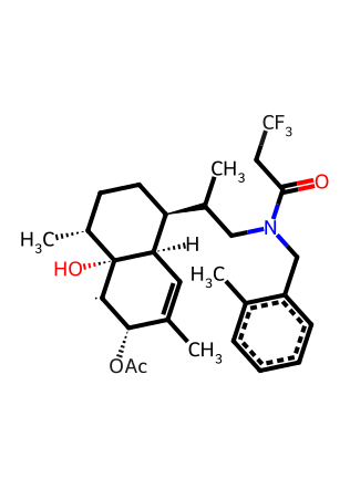 CC(=O)O[C@@H]1[CH][C@@]2(O)[C@H](C)CC[C@@H](C(C)CN(Cc3ccccc3C)C(=O)CC(F)(F)F)[C@H]2C=C1C